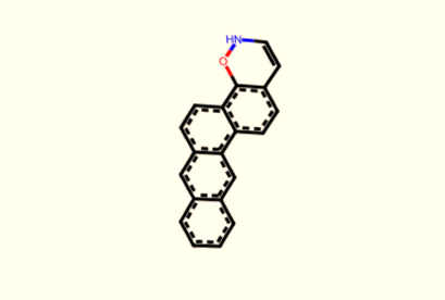 C1=Cc2ccc3c(ccc4cc5ccccc5cc43)c2ON1